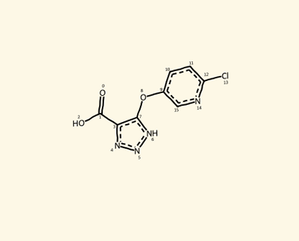 O=C(O)c1nn[nH]c1Oc1ccc(Cl)nc1